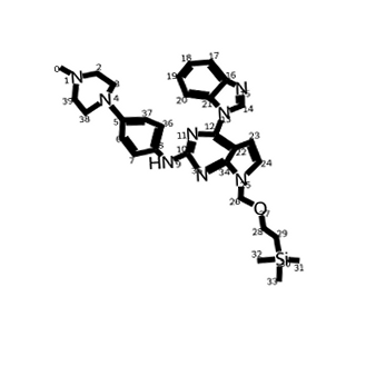 CN1CCN(c2ccc(Nc3nc(-n4cnc5ccccc54)c4ccn(COCC[Si](C)(C)C)c4n3)cc2)CC1